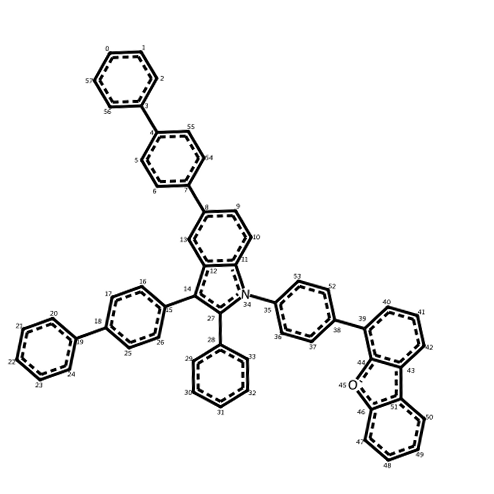 c1ccc(-c2ccc(-c3ccc4c(c3)c(-c3ccc(-c5ccccc5)cc3)c(-c3ccccc3)n4-c3ccc(-c4cccc5c4oc4ccccc45)cc3)cc2)cc1